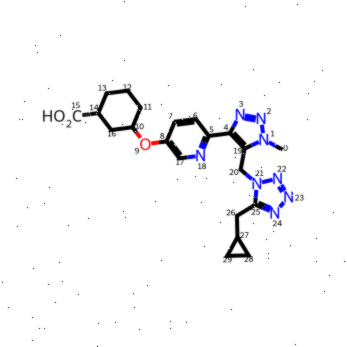 Cn1nnc(-c2ccc(OC3CCCC(C(=O)O)C3)cn2)c1Cn1nnnc1CC1CC1